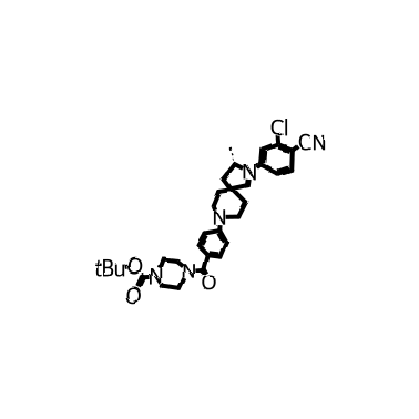 C[C@H]1CC2(CCN(c3ccc(C(=O)N4CCN(C(=O)OC(C)(C)C)CC4)cc3)CC2)CN1c1ccc(C#N)c(Cl)c1